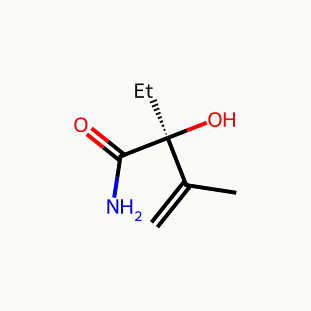 C=C(C)[C@@](O)(CC)C(N)=O